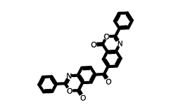 O=C(c1ccc2nc(-c3ccccc3)oc(=O)c2c1)c1ccc2nc(-c3ccccc3)oc(=O)c2c1